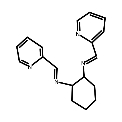 C(=NC1CCCCC1N=Cc1ccccn1)c1ccccn1